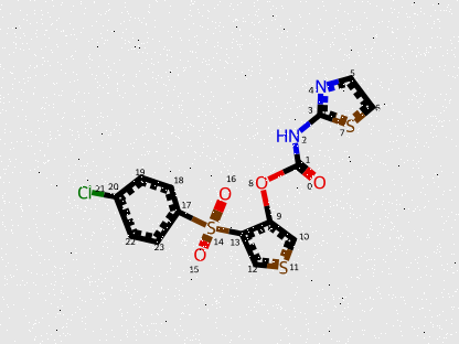 O=C(Nc1nccs1)Oc1cscc1S(=O)(=O)c1ccc(Cl)cc1